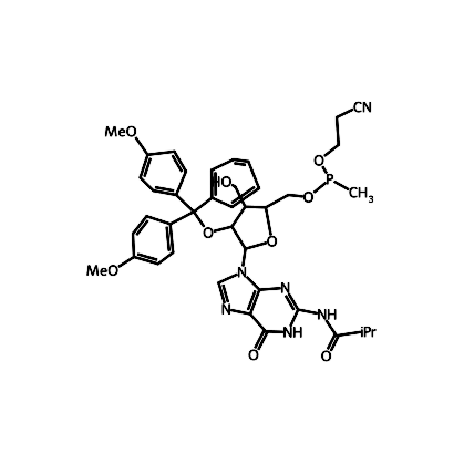 COc1ccc(C(OC2C(CO)C(COP(C)OCCC#N)OC2n2cnc3c(=O)[nH]c(NC(=O)C(C)C)nc32)(c2ccccc2)c2ccc(OC)cc2)cc1